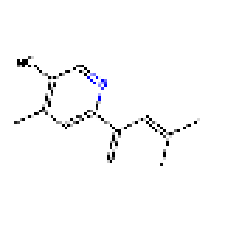 C=C(C=C(C)C)c1cc(C)c(C#N)cn1